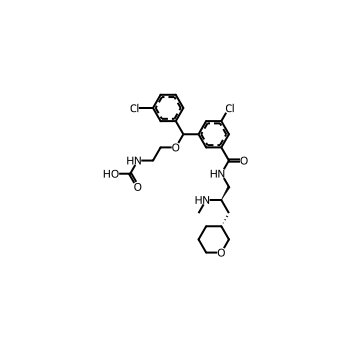 CN[C@@H](CNC(=O)c1cc(Cl)cc(C(OCCNC(=O)O)c2cccc(Cl)c2)c1)C[C@H]1CCCOC1